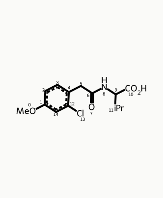 COc1ccc(CC(=O)NC(C(=O)O)C(C)C)c(Cl)c1